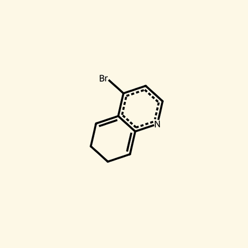 Brc1ccnc2c1=CCCC=2